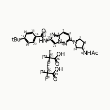 CC(=O)NC1CCN(c2ccc3nc(NC(=O)c4ccc(C(C)(C)C)cc4)cn3n2)C1.O=C(O)C(F)(F)F.O=C(O)C(F)(F)F